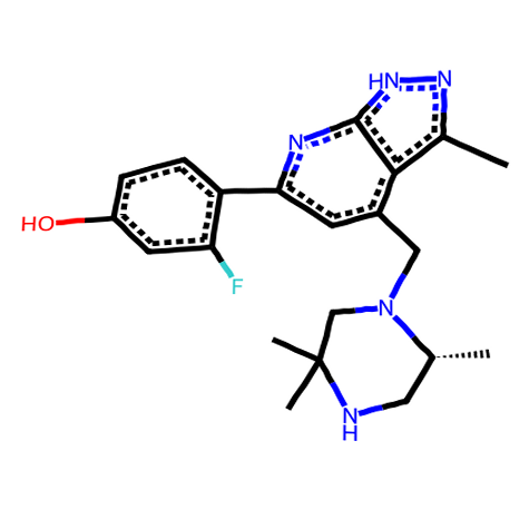 Cc1n[nH]c2nc(-c3ccc(O)cc3F)cc(CN3CC(C)(C)NC[C@H]3C)c12